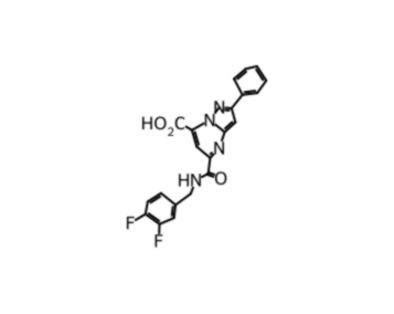 O=C(NCc1ccc(F)c(F)c1)c1cc(C(=O)O)n2nc(-c3ccccc3)cc2n1